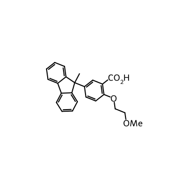 COCCOc1ccc(C2(C)c3ccccc3-c3ccccc32)cc1C(=O)O